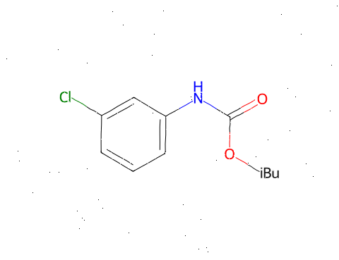 CCC(C)OC(=O)Nc1cccc(Cl)c1